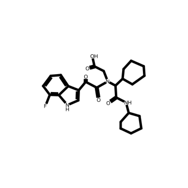 O=C(O)CN(C(=O)C(=O)c1c[nH]c2c(F)cccc12)C(C(=O)NC1CCCCC1)C1CCCCC1